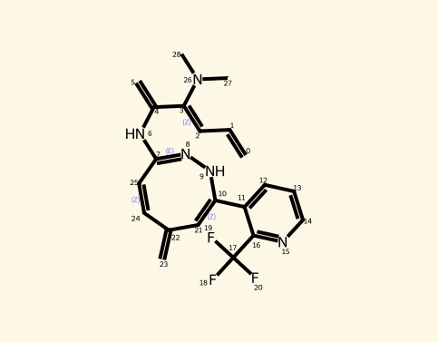 C=C/C=C(/C(=C)NC1=N/N/C(c2cccnc2C(F)(F)F)=C\C(=C)/C=C\1)N(C)C